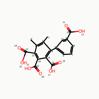 Cc1c(C)c(-c2cccc(C(=O)O)c2)c(C(=O)O)c(C(=O)O)c1C(=O)O